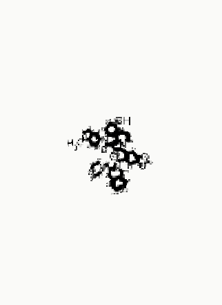 Cn1ccc2cc(N(C(=O)c3cc(-c4cc5c(cc4C(=O)N4Cc6ccccc6C[C@H]4CN4CCOCC4)OCO5)n4c3CCCC4)C3CCC(O)CC3)ccc21